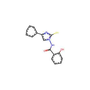 O=C(Nn1cc(-c2ccccc2)nc1S)c1ccccc1O